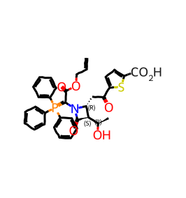 C=CCOC(=O)C(N1C(=O)[C@H]([C@@H](C)O)[C@H]1CC(=O)c1ccc(C(=O)O)s1)=P(c1ccccc1)(c1ccccc1)c1ccccc1